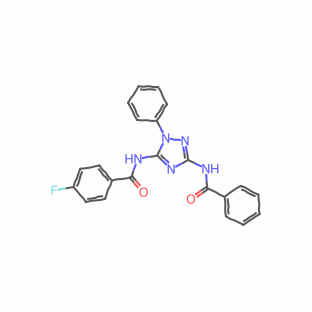 O=C(Nc1nc(NC(=O)c2ccc(F)cc2)n(-c2ccccc2)n1)c1ccccc1